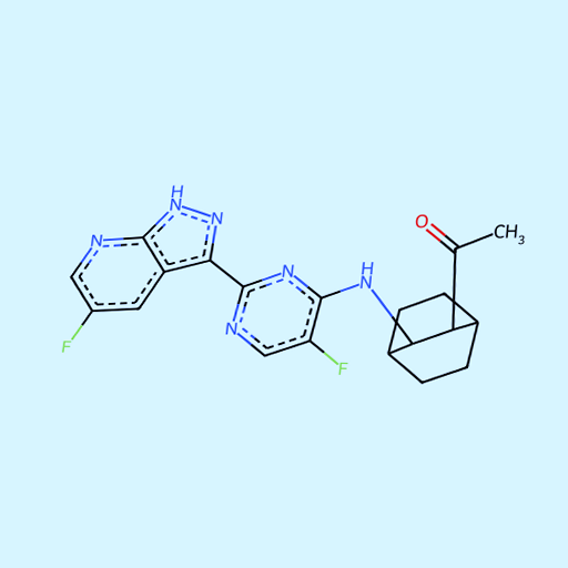 CC(=O)C1C2CCC(CC2)C1Nc1nc(-c2n[nH]c3ncc(F)cc23)ncc1F